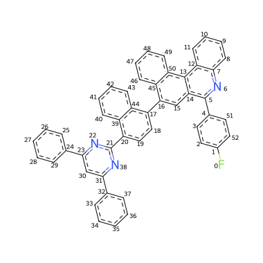 Fc1ccc(-c2nc3ccccc3c3c2cc(-c2ccc(-c4nc(-c5ccccc5)cc(-c5ccccc5)n4)c4ccccc24)c2ccccc23)cc1